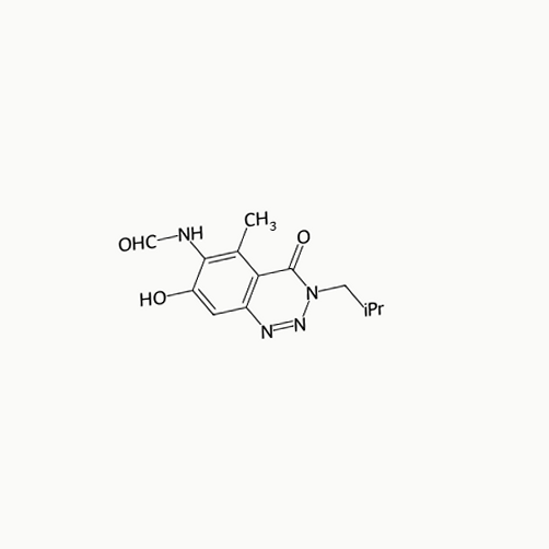 Cc1c(NC=O)c(O)cc2nnn(CC(C)C)c(=O)c12